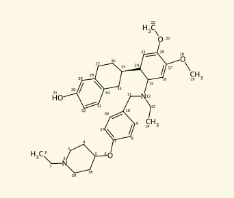 CCN1CCC(Oc2ccc(CN(CC)C3C=C(OC)C(OC)=CC3[C@@H]3CCc4cc(O)ccc4C3)cc2)CC1